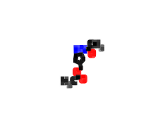 CC(=O)N[C@@H]1C=C[C@H](COC(C)=O)C1